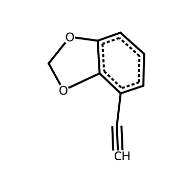 C#Cc1cccc2c1OCO2